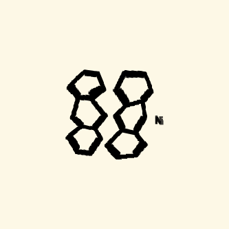 [Ni].c1ccc2cc3ccccc3cc2c1.c1ccc2cc3ccccc3cc2c1